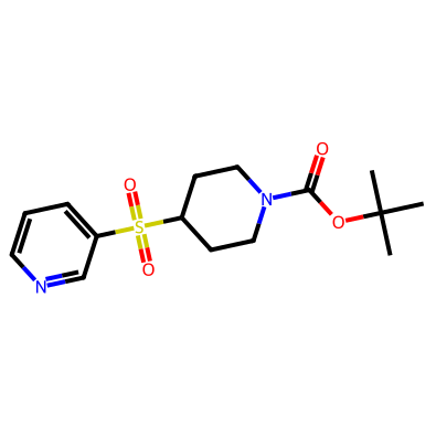 CC(C)(C)OC(=O)N1CCC(S(=O)(=O)c2cccnc2)CC1